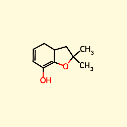 CC1(C)CC2CC=CC(O)=C2O1